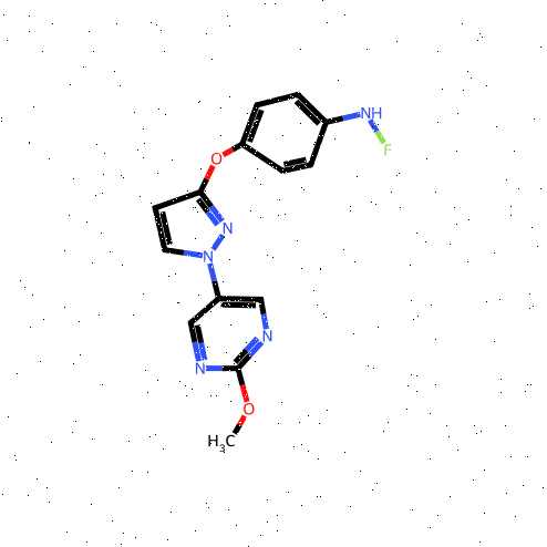 COc1ncc(-n2ccc(Oc3ccc(NF)cc3)n2)cn1